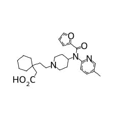 Cc1ccc(N(C(=O)c2ccco2)C2CCN(CCC3(CC(=O)O)CCCCC3)CC2)nc1